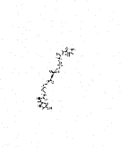 CC(NC(=O)C(C)NC(=O)C(C)(C)COC(C)(C)CCNC(=O)C#CC(=O)NCCC(C)(C)OCC(C)(C)C(=O)NC(C)C(=O)NC(C)C(=O)O)C(=O)O